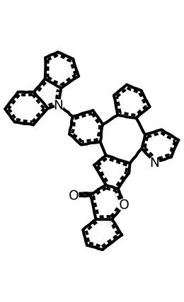 O=c1c2ccccc2oc2cc3c(cc12)-c1ccc(-n2c4ccccc4c4ccccc42)cc1-c1ccccc1-c1cccnc1-3